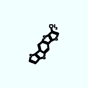 Cc1csc2c1sc1cc3c(cc12)sc1ccsc13